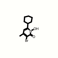 Cc1cc(C2CCCCC2)n(O)c(=O)c1Br